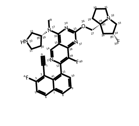 C#Cc1c(F)ccc2cccc(-c3ncc4c(N(C)[C@@H]5CCNC5)nc(OC[C@]56CCCN5C[C@H](F)C6)nc4c3F)c12